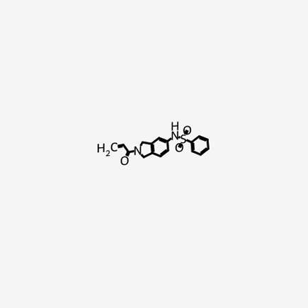 C=CC(=O)N1Cc2ccc(NS(=O)(=O)c3ccccc3)cc2C1